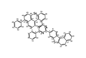 c1ccc(-c2nc(-c3ccc4c(c3)sc3ccc5ccccc5c34)nc(-c3cccc4c3-c3cccc5c(-c6ccccc6)ccc(c35)S4)n2)cc1